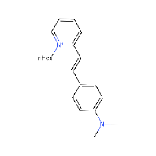 CCCCCC[n+]1ccccc1/C=C/c1ccc(N(C)C)cc1